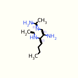 C=CNC(=C\CCC)/C(N)=C\N=C(/C)N